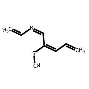 C=C/C=C(\C=N/C=C)SC#N